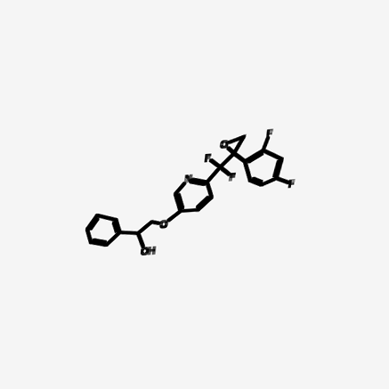 OC(COc1ccc(C(F)(F)C2(c3ccc(F)cc3F)CO2)nc1)c1ccccc1